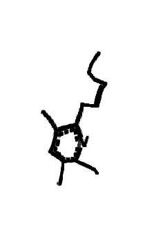 CC/C=C\Cc1nc(C)c(C)cc1C